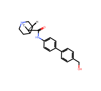 O=C(Nc1ccc(-c2ccc(CO)cc2)cc1)[C@H]1CN2CCC1CC2